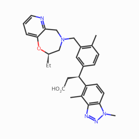 CC[C@@H]1CN(Cc2cc([C@H](CC(=O)O)c3ccc4c(nnn4C)c3C)ccc2C)Cc2ncccc2O1